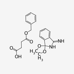 COC1(OC)NC(=N)c2ccccc21.O=C(O)CCC(=O)OCc1ccccc1